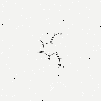 C=C(N/C=C\N)C(C)/C=C/C